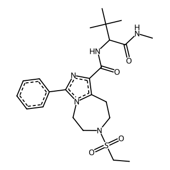 CCS(=O)(=O)N1CCc2c(C(=O)NC(C(=O)NC)C(C)(C)C)nc(-c3ccccc3)n2CC1